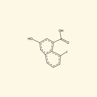 O=C(O)c1cc(O)cc2cccc(I)c12